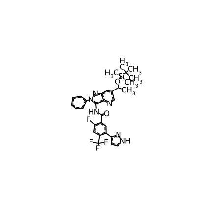 CC(O[Si](C)(C)C(C)(C)C)c1cnc2c(NC(=O)c3cc(-c4cc[nH]n4)c(C(F)(F)F)cc3F)n(-c3ccccc3)nc2c1